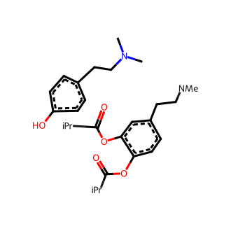 CN(C)CCc1ccc(O)cc1.CNCCc1ccc(OC(=O)C(C)C)c(OC(=O)C(C)C)c1